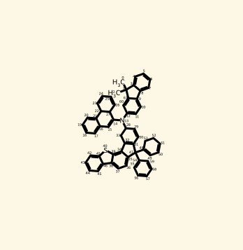 CC1(C)c2ccccc2-c2ccc(N(C3=Cc4ccccc4C4C=CC=CC34)C3C=CC4=C(C3)c3c(ccc5c3sc3ccccc35)C4(C3=CC=CCC3)c3ccccc3)cc21